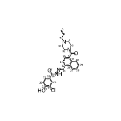 C=CCN1CCN(C(=O)c2ccc(/C=N/NC(=O)c3ccc(O)c(Cl)c3)c3ccccc23)CC1